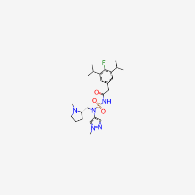 CC(C)c1cc(CC(=O)NS(=O)(=O)N(C[C@@H]2CCCN2C)c2cnn(C)c2)cc(C(C)C)c1F